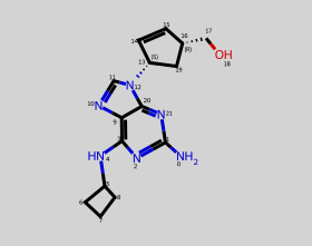 Nc1nc(NC2CCC2)c2ncn([C@@H]3C=C[C@H](CO)C3)c2n1